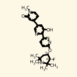 Cn1ccc(-c2cnc(-c3ccc(O[C@H]4CC(C)(C)NC(C)(C)[C@H]4F)nn3)c(O)c2)cc1=O